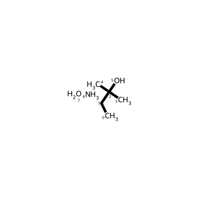 CCC(C)(C)O.N.O